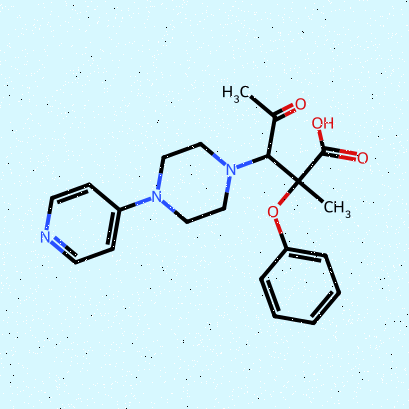 CC(=O)C(N1CCN(c2ccncc2)CC1)C(C)(Oc1ccccc1)C(=O)O